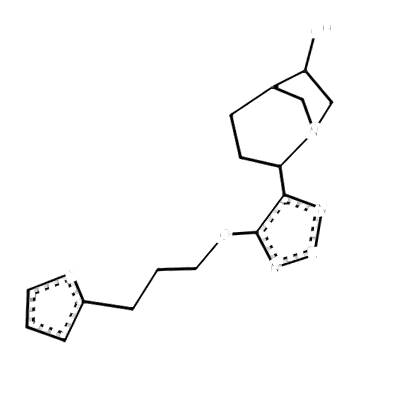 OC1CN2CC1CCC2c1nsnc1OCCCc1cccs1